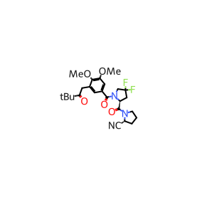 COc1cc(C(=O)N2CC(F)(F)C[C@H]2C(=O)N2CCC[C@H]2C#N)cc(CC(=O)C(C)(C)C)c1OC